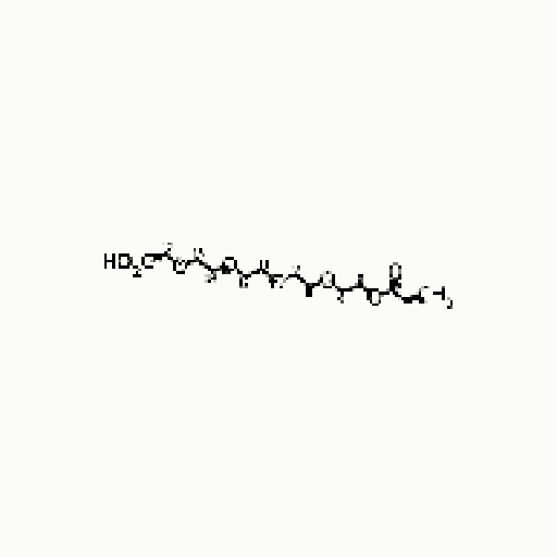 C=CC(=O)OCCOCCOCCOCCOCC(=O)O